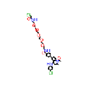 CC(=O)N1c2ccc(-c3ccc(C(=O)NCCOCCOCCOCCOCCOCCNC(=O)CCl)cc3)cc2[C@H](Nc2ccc(Cl)cc2)C[C@@H]1C